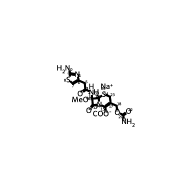 CO[C@@]1(NC(=O)Cc2csc(N)n2)C(=O)N2C(C(=O)[O-])=C(COC(N)=O)CS[C@H]21.[Na+]